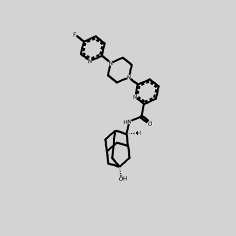 O=C(N[C@H]1C2CC3CC1C[C@](O)(C3)C2)c1cccc(N2CCN(c3ccc(F)cn3)CC2)n1